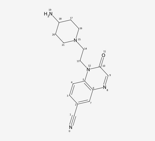 N#Cc1ccc2c(c1)ncc(=O)n2CCN1CCC(N)CC1